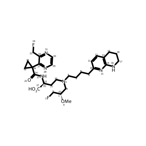 CO[C@H](CF)CN(CCCCc1ccc2c(n1)NCCC2)CC[C@H](NC(=O)C1(c2nccnc2CF)CC1)C(=O)O